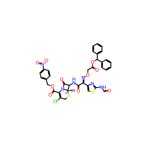 O=CNc1nc(C(=NOCC(=O)OC(c2ccccc2)c2ccccc2)C(=O)NC2C(=O)N3C(C(=O)OCc4ccc([N+](=O)[O-])cc4)=C(Cl)CS[C@@H]23)cs1